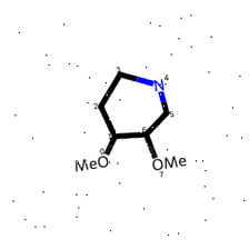 COC1CC[N]CC1OC